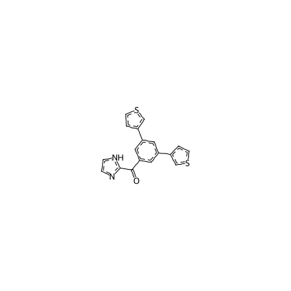 O=C(c1cc(-c2ccsc2)cc(-c2ccsc2)c1)c1ncc[nH]1